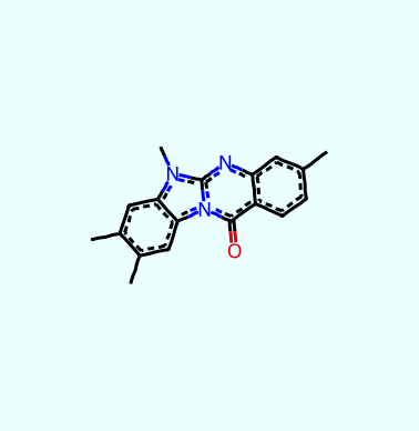 Cc1ccc2c(=O)n3c4cc(C)c(C)cc4n(C)c3nc2c1